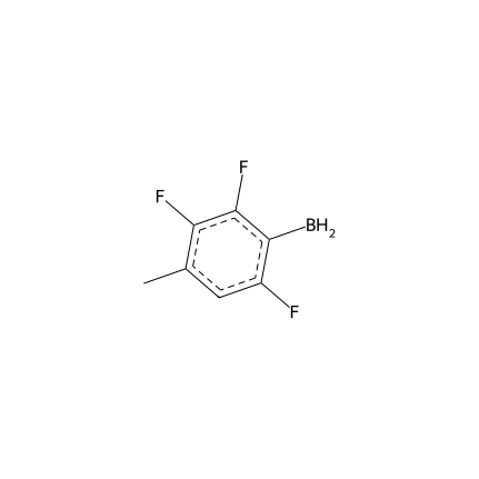 Bc1c(F)cc(C)c(F)c1F